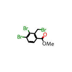 COC(=O)c1ccc(Br)c(Br)c1CBr